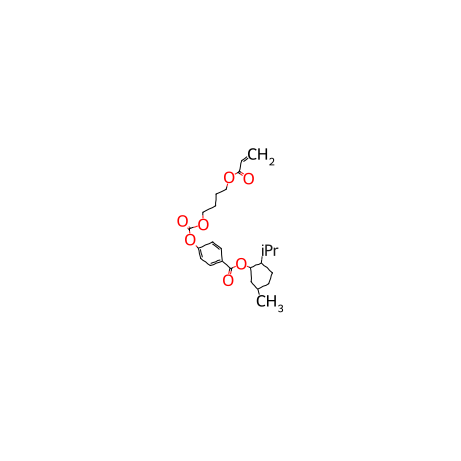 C=CC(=O)OCCCCOC(=O)Oc1ccc(C(=O)OC2CC(C)CCC2C(C)C)cc1